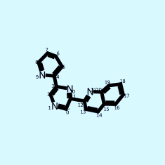 [c]1ncc(-c2ccccn2)nc1-c1ccc2ccccc2n1